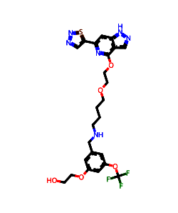 OCCOc1cc(CNCCCCOCCOc2nc(-c3cnns3)cc3[nH]ncc23)cc(OC(F)(F)F)c1